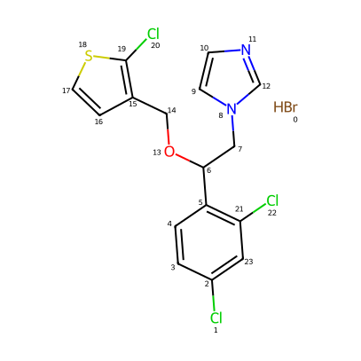 Br.Clc1ccc(C(Cn2ccnc2)OCc2ccsc2Cl)c(Cl)c1